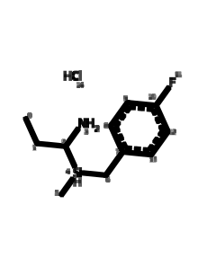 CCC(N)[SiH](C)Cc1ccc(F)cc1.Cl